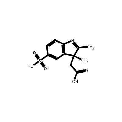 CC1=Nc2ccc(S(=O)(=O)O)cc2C1(C)CC(=O)O